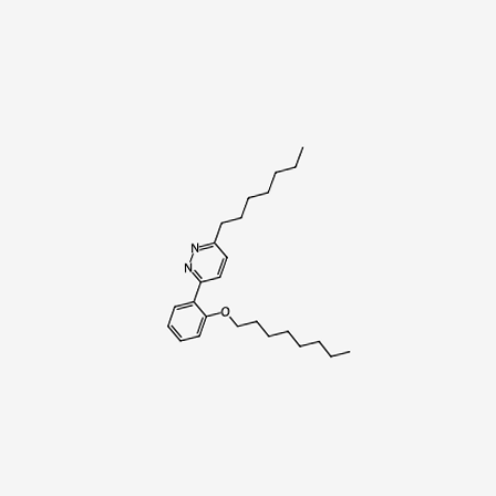 CCCCCCCCOc1ccccc1-c1ccc(CCCCCCC)nn1